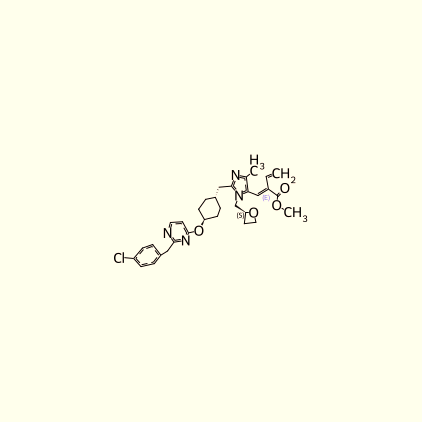 C=C/C(=C\c1c(C)nc(C[C@H]2CC[C@H](Oc3ccnc(Cc4ccc(Cl)cc4)n3)CC2)n1C[C@@H]1CCO1)C(=O)OC